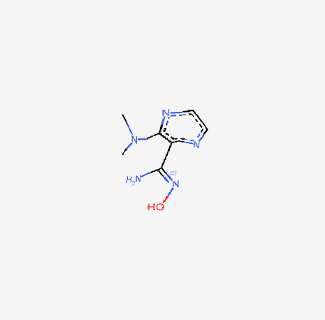 CN(C)c1nccnc1/C(N)=N/O